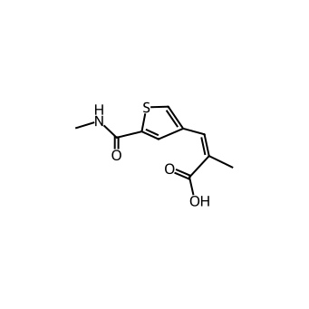 CNC(=O)c1cc(C=C(C)C(=O)O)cs1